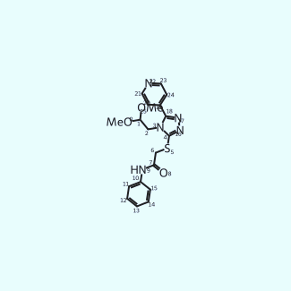 COC(Cn1c(SCC(=O)Nc2ccccc2)nnc1-c1ccncc1)OC